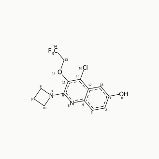 Oc1ccc2nc(N3CCC3)c(OCC(F)(F)F)c(Cl)c2c1